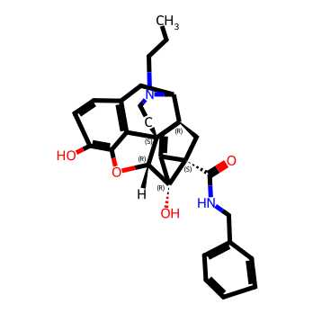 CCCN1CC[C@]23c4c5ccc(O)c4O[C@H]2[C@@]2(O)C4=C[C@@]3(C[C@]42C(=O)NCc2ccccc2)C1C5